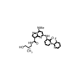 CNc1cc(Nc2cccn(-c3ncccc3F)c2=O)nc2c(C(=O)NC[C@H](C)CO)cnn12